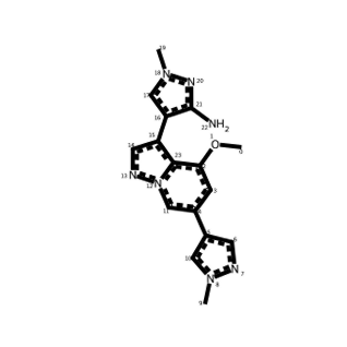 COc1cc(-c2cnn(C)c2)cn2ncc(-c3cn(C)nc3N)c12